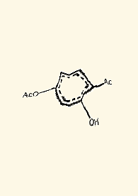 CC(=O)Oc1ccc(C(C)=O)c(O)c1